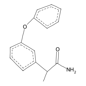 CC(C(N)=O)c1cccc(Oc2ccccc2)c1